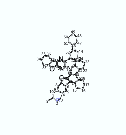 C=C/C=C\c1cc2c(cc1C)oc1c2c2ccccc2c2c3ccccc3n(-c3nc4oc5ccccc5c4nc3-c3cccc(-c4ccccc4)c3)c12